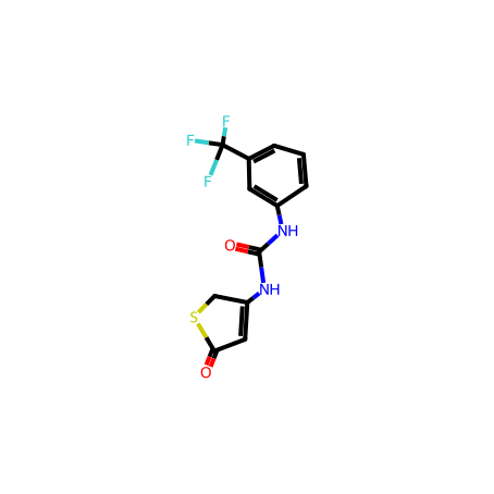 O=C(NC1=CC(=O)SC1)Nc1cccc(C(F)(F)F)c1